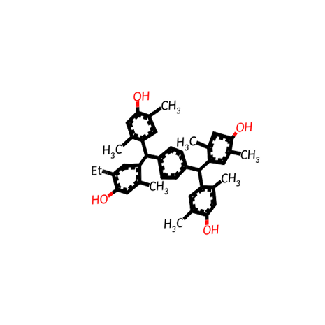 CCc1cc(C(c2ccc(C(c3cc(C)c(O)cc3C)c3cc(C)c(O)cc3C)cc2)c2cc(C)c(O)cc2C)c(C)cc1O